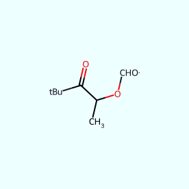 CC(O[C]=O)C(=O)C(C)(C)C